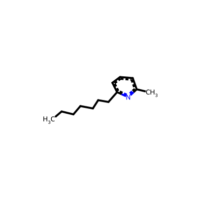 CCCCCCCc1cccc(C)n1